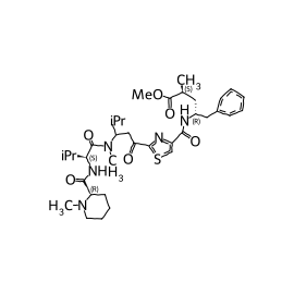 COC(=O)[C@@H](C)C[C@H](Cc1ccccc1)NC(=O)c1csc(C(=O)CC(C(C)C)N(C)C(=O)[C@@H](NC(=O)[C@H]2CCCCN2C)C(C)C)n1